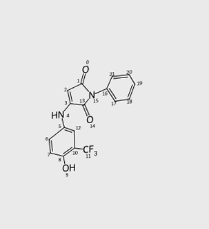 O=C1C=C(Nc2ccc(O)c(C(F)(F)F)c2)C(=O)N1c1ccccc1